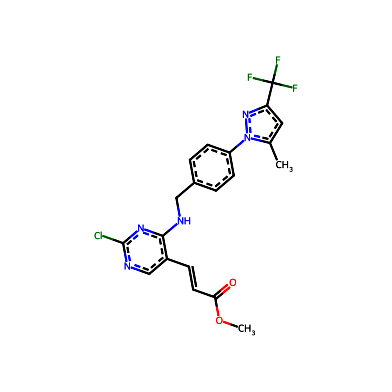 COC(=O)/C=C/c1cnc(Cl)nc1NCc1ccc(-n2nc(C(F)(F)F)cc2C)cc1